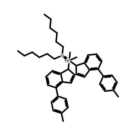 CCCCCC[Si](CCCCCC)=[Hf]([CH3])([CH3])([CH]1C=Cc2c(-c3ccc(C)cc3)cccc21)[CH]1C=Cc2c(-c3ccc(C)cc3)cccc21